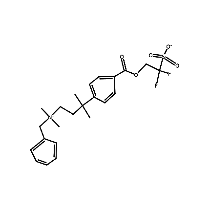 CC(C)(CC[N+](C)(C)Cc1ccccc1)c1ccc(C(=O)OCC(F)(F)S(=O)(=O)[O-])cc1